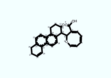 O=C(O)C1=CC=CC=COC1C1C(=O)CCc2c1ccc1c3c(ccc21)CCC=C3